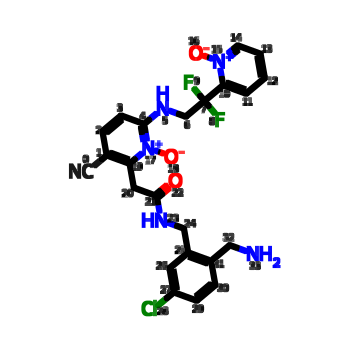 N#Cc1ccc(NCC(F)(F)c2cccc[n+]2[O-])[n+]([O-])c1CC(=O)NCc1cc(Cl)ccc1CN